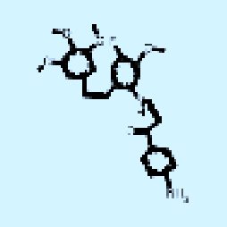 COc1cc(N/C=C\C(=O)c2ccc(N)cc2)c(/C=C\c2cc(OC)c(OC)c(OC)c2)cc1F